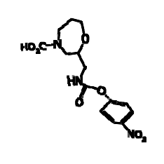 O=C(NCC1CN(C(=O)O)CCCO1)Oc1ccc([N+](=O)[O-])cc1